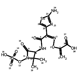 C=C(ON=C(C(=O)N[C@@H]1C(=O)N(OS(=O)(=O)O)C1(C)C)c1csc(N)n1)C(=O)O